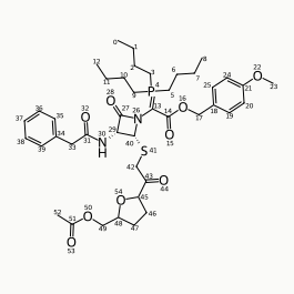 CCCCP(CCCC)(CCCC)=C(C(=O)OCc1ccc(OC)cc1)N1C(=O)[C@@H](NC(=O)Cc2ccccc2)[C@H]1SCC(=O)C1CCC(COC(C)=O)O1